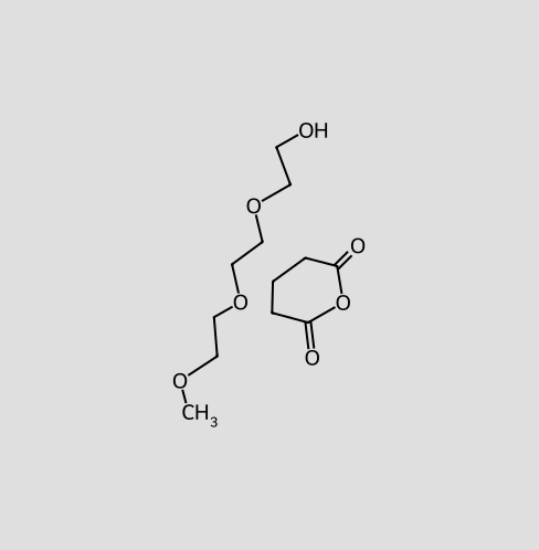 COCCOCCOCCO.O=C1CCCC(=O)O1